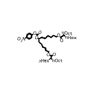 CCCCCCCCC(CCCCCC)C(=O)OCCCCCCC(CCCCCCOC(=O)C(CCCCCC)CCCCCCCC)OC(=O)Oc1ccc([N+](=O)[O-])cc1